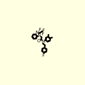 Cc1ccc(N(CCc2ccc(F)cc2)C(=O)Cn2c(C(F)(F)F)nc3ccccc32)cc1C